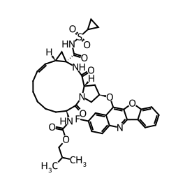 CC(C)COC(=O)N[C@H]1CCCCC/C=C\[C@@H]2C[C@@]2(C(=O)NS(=O)(=O)C2CC2)NC(=O)[C@@H]2C[C@@H](Oc3c4cc(F)ccc4nc4c3oc3ccccc34)CN2C1=O